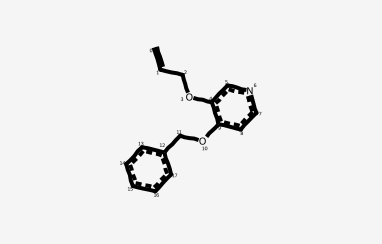 C=CCOc1cnccc1OCc1ccccc1